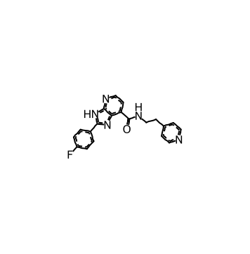 O=C(NCCc1ccncc1)c1ccnc2[nH]c(-c3ccc(F)cc3)nc12